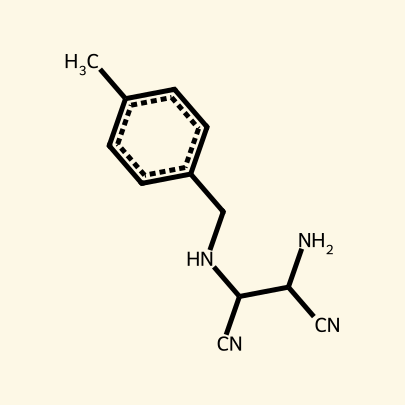 Cc1ccc(CNC(C#N)C(N)C#N)cc1